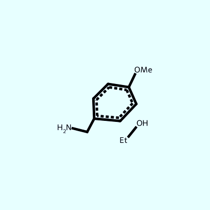 CCO.COc1ccc(CN)cc1